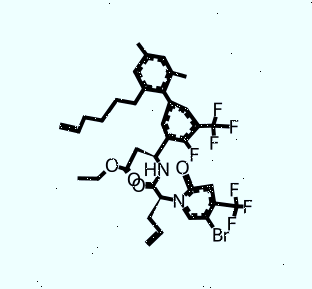 C=CCCCCc1cc(C)cc(C)c1-c1cc([C@H](CC(=O)OCC)NC(=O)[C@H](CC=C)n2cc(Br)c(C(F)(F)F)cc2=O)c(F)c(C(F)(F)F)c1